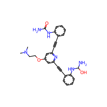 CN(C)CCOc1cc(C#Cc2ccccc2NC(N)=O)nc(C#Cc2ccccc2NC(N)O)c1